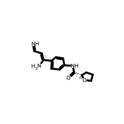 N=C/C=C(\N)c1ccc(NC(=O)[C@@H]2CCCO2)cc1